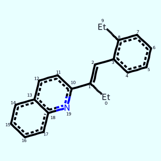 CCC(=Cc1ccccc1CC)c1ccc2ccccc2n1